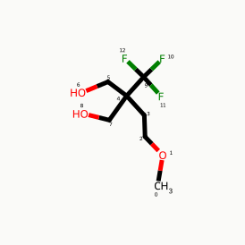 COCCC(CO)(CO)C(F)(F)F